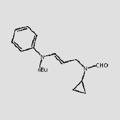 CCCCN(/C=C/CN(C=O)C1CC1)c1ccccc1